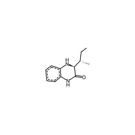 CC[C@H](C)[C@@H]1Nc2ccccc2NC1=O